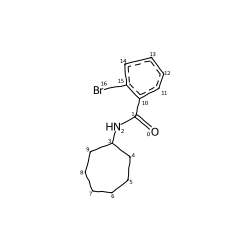 O=C(NC1CCCCCC1)c1ccccc1Br